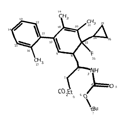 CCOC(=O)CC(NC(=O)OC(C)(C)C)C1C=C(c2ccccc2C)C(C)=C(C)C1(F)C1CC1